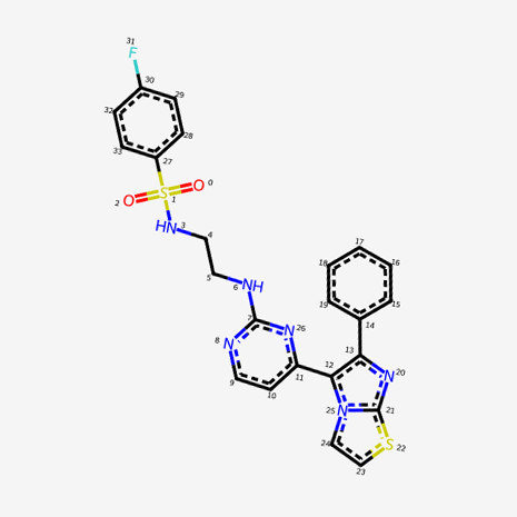 O=S(=O)(NCCNc1nccc(-c2c(-c3ccccc3)nc3sccn23)n1)c1ccc(F)cc1